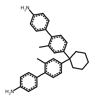 Cc1cc(C2(c3ccc(-c4ccc(N)cc4)c(C)c3)CCCCC2)ccc1-c1ccc(N)cc1